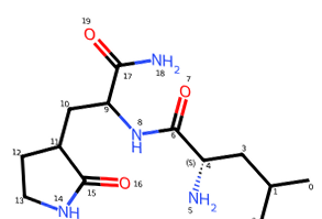 CC(C)C[C@H](N)C(=O)NC(CC1CCNC1=O)C(N)=O